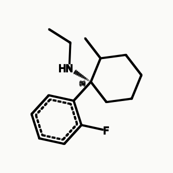 CCN[C@@]1(c2ccccc2F)CCCCC1C